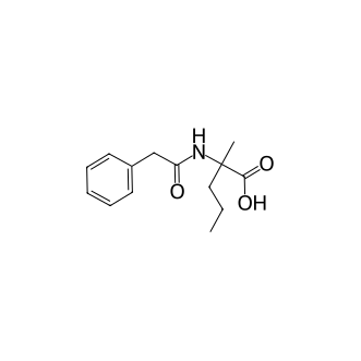 CCCC(C)(NC(=O)Cc1ccccc1)C(=O)O